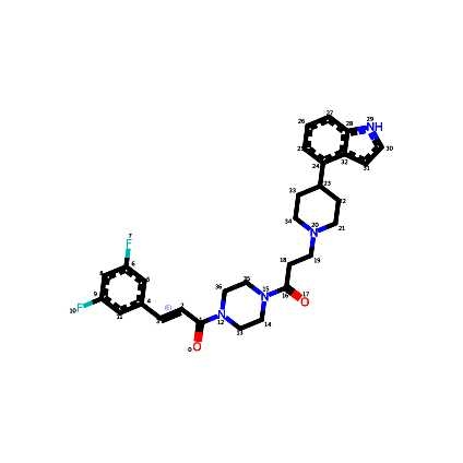 O=C(/C=C/c1cc(F)cc(F)c1)N1CCN(C(=O)CCN2CCC(c3cccc4[nH]ccc34)CC2)CC1